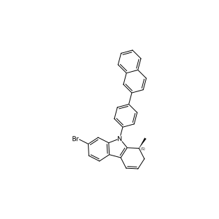 C[C@H]1CC=Cc2c1n(-c1ccc(-c3ccc4ccccc4c3)cc1)c1cc(Br)ccc21